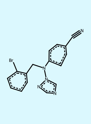 N#Cc1ccc(N(Cc2ccccc2Br)n2cncn2)cc1